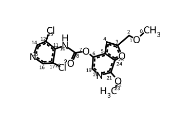 COCc1cc2c(OC(=O)Nc3c(Cl)cncc3Cl)cnc(OC)c2o1